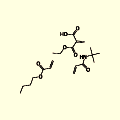 C=C(C(=O)O)C(=O)OCC.C=CC(=O)NC(C)(C)C.C=CC(=O)OCCCC